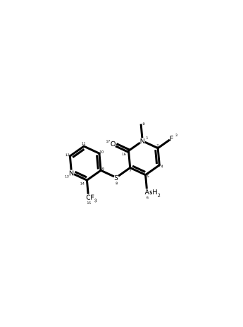 Cn1c(F)cc([AsH2])c(Sc2cccnc2C(F)(F)F)c1=O